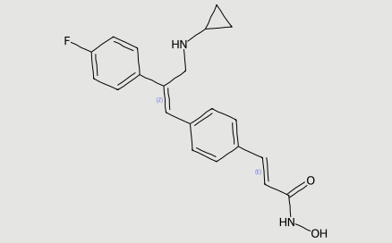 O=C(/C=C/c1ccc(/C=C(\CNC2CC2)c2ccc(F)cc2)cc1)NO